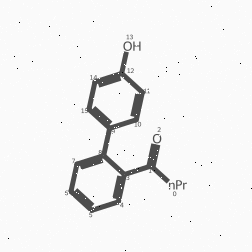 CCCC(=O)c1ccccc1-c1ccc(O)cc1